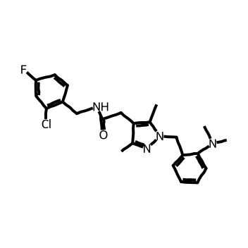 Cc1nn(Cc2ccccc2N(C)C)c(C)c1CC(=O)NCc1ccc(F)cc1Cl